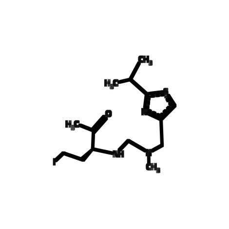 CC(=O)[C@H](CCI)NCN(C)Cc1csc(C(C)C)n1